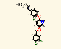 O=C(O)/C=C/c1ccc(Oc2ccc(OCc3ccc(F)c(F)c3)cn2)c(F)c1